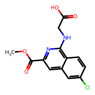 COC(=O)c1cc2cc(Cl)ccc2c(NCC(=O)O)n1